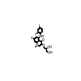 Cn1cc(OCC(O)CO)c(=O)c2c(Nc3ccc(I)cc3F)cc(F)cc21